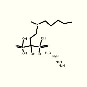 CCCCCN(C)CCC(O)(P(=O)(O)O)P(=O)(O)O.O.[NaH].[NaH].[NaH]